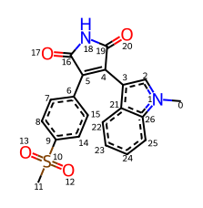 Cn1cc(C2=C(c3ccc(S(C)(=O)=O)cc3)C(=O)NC2=O)c2ccccc21